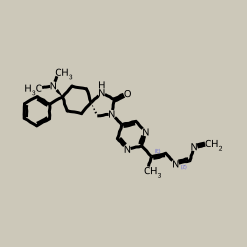 C=N/C=N\C=C(/C)c1ncc(N2C[C@]3(CC[C@](c4ccccc4)(N(C)C)CC3)NC2=O)cn1